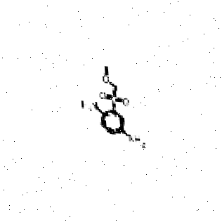 COCS(=O)(=O)c1cc(N)ccc1N